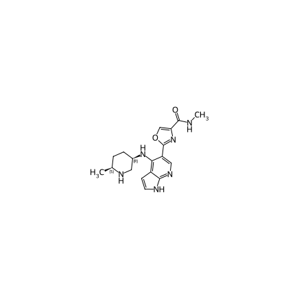 CNC(=O)c1coc(-c2cnc3[nH]ccc3c2N[C@@H]2CC[C@H](C)NC2)n1